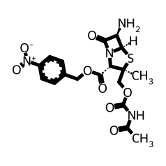 CC(=O)NC(=O)OC[C@]1(C)S[C@@H]2[C@H](N)C(=O)N2[C@H]1C(=O)OCc1ccc([N+](=O)[O-])cc1